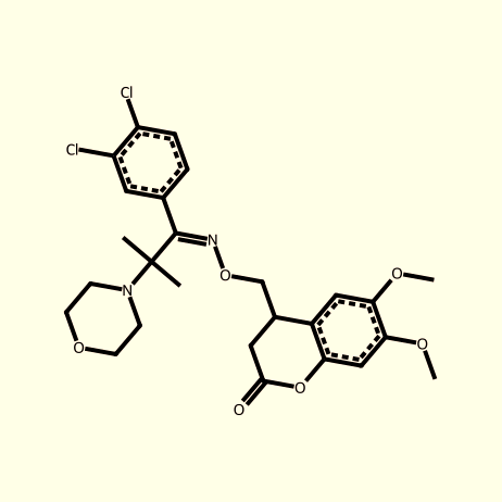 COc1cc2c(cc1OC)C(CON=C(c1ccc(Cl)c(Cl)c1)C(C)(C)N1CCOCC1)CC(=O)O2